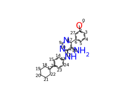 COc1cccc(-c2ncnc(Nc3ccc(C4CCCCC4)cc3)c2N)c1